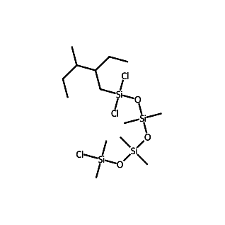 CCC(C)C(CC)C[Si](Cl)(Cl)O[Si](C)(C)O[Si](C)(C)O[Si](C)(C)Cl